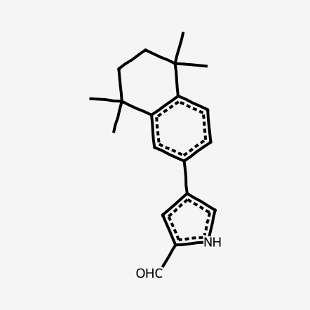 CC1(C)CCC(C)(C)c2cc(-c3c[nH]c(C=O)c3)ccc21